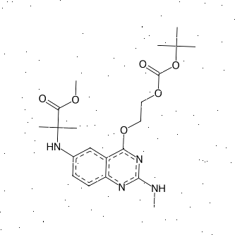 CNc1nc(OCCOC(=O)OC(C)(C)C)c2cc(NC(C)(C)C(=O)OC)ccc2n1